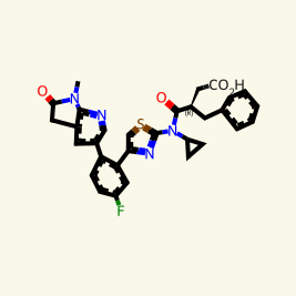 CN1C(=O)Cc2cc(-c3ccc(F)cc3-c3csc(N(C(=O)[C@@H](CC(=O)O)Cc4ccccc4)C4CC4)n3)cnc21